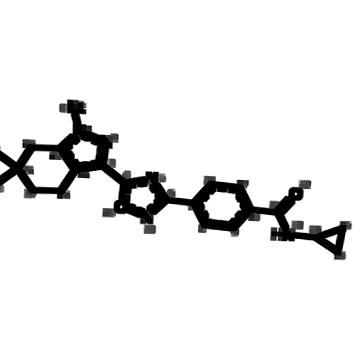 CCn1nc(-c2nc(-c3ccc(C(=O)NC4CC4)cc3)no2)c2c1CC(C)(C)CC2